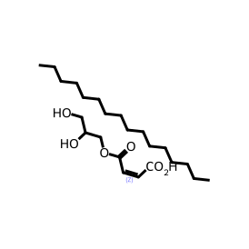 CCCCCCCCCCCCCCCC.O=C(O)/C=C\C(=O)OCC(O)CO